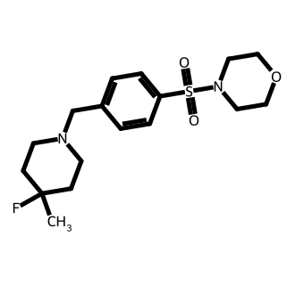 CC1(F)CCN(Cc2ccc(S(=O)(=O)N3CCOCC3)cc2)CC1